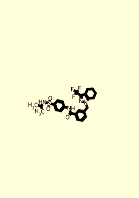 CC(C)NS(=O)(=O)c1ccc(NC(=O)c2cccc(Cn3nc(C(F)(F)F)c4c3CCCC4)c2)cc1